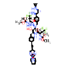 COC(=O)N[C@H](C(=O)N[C@@H](Cc1ccc(C#Cc2cnc(N3CC4CCC(C3)N4C3COC3)nc2)cc1)[C@@H](O)CN(Cc1ccc(C(=N)/C=C\NC2CC2)cc1)NC(=O)[C@@H](NC(=O)OC)C(C)(C)C(F)(F)F)C(C)(C)C(F)(F)F